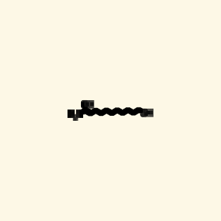 NC(O)=CCCCCCCCCCO